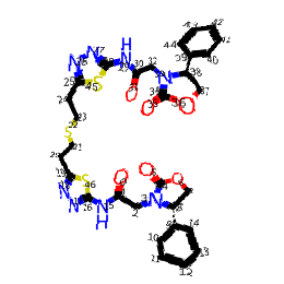 O=C(CN1C(=O)OC[C@@H]1c1ccccc1)Nc1nnc(CCSCCc2nnc(NC(=O)CN3C(=O)OC[C@@H]3c3ccccc3)s2)s1